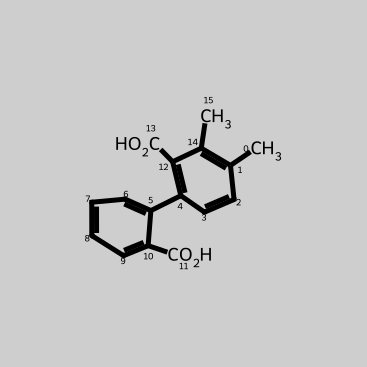 Cc1ccc(-c2ccccc2C(=O)O)c(C(=O)O)c1C